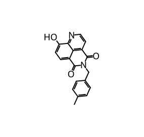 Cc1ccc(CN2C(=O)c3ccnc4c(O)ccc(c34)C2=O)cc1